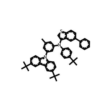 Cc1cc(N(c2ccc(C(C)(C)C)cc2)c2csc3ccc(-c4ccccc4)cc23)cc(-n2c3ccc(C(C)(C)C)cc3c3cc(C(C)(C)C)ccc32)c1